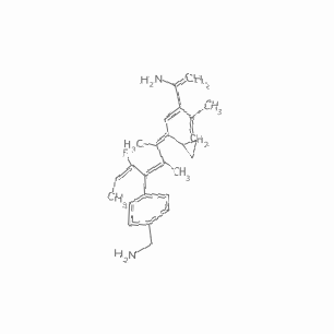 C=C(C)\C(=C/C(=C(C)/C(C)=C(\C(F)=C/C)c1ccc(CN)cc1)C1CC1)C(=C)N